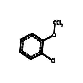 Clc1ccccc1OC(Cl)(Cl)Cl